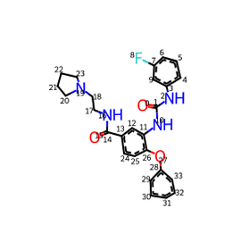 O=C(Nc1cccc(F)c1)Nc1cc(C(=O)NCCN2CCCC2)ccc1Oc1ccccc1